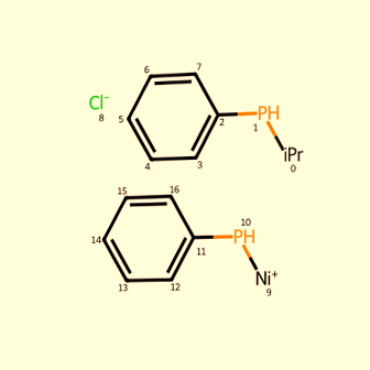 CC(C)Pc1ccccc1.[Cl-].[Ni+][PH]c1ccccc1